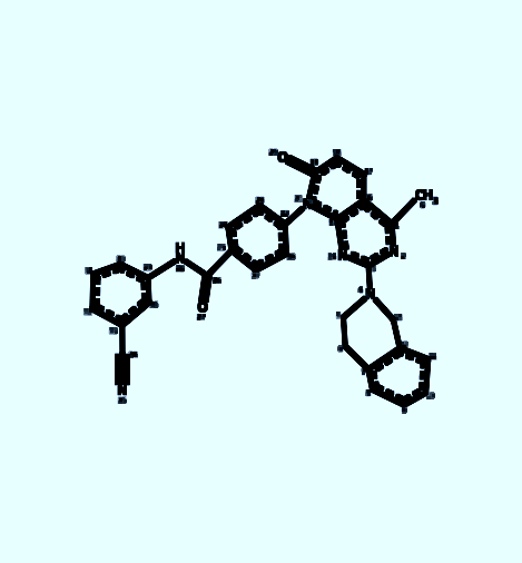 Cc1nc(N2CCc3ccccc3C2)nc2c1ccc(=O)n2-c1ccc(C(=O)Nc2cccc(C#N)c2)cc1